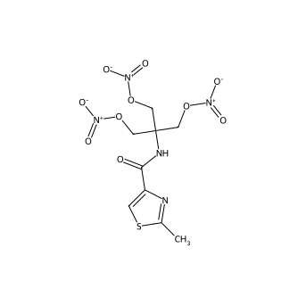 Cc1nc(C(=O)NC(CO[N+](=O)[O-])(CO[N+](=O)[O-])CO[N+](=O)[O-])cs1